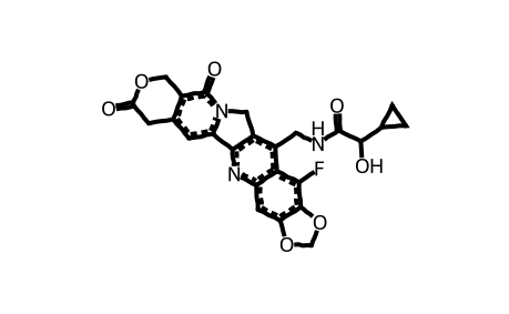 O=C1Cc2cc3n(c(=O)c2CO1)Cc1c-3nc2cc3c(c(F)c2c1CNC(=O)C(O)C1CC1)OCO3